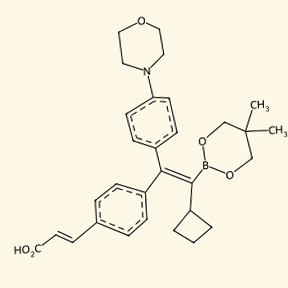 CC1(C)COB(C(=C(c2ccc(C=CC(=O)O)cc2)c2ccc(N3CCOCC3)cc2)C2CCC2)OC1